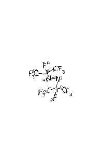 FC(F)(F)C(F)(N=NC(F)(C(F)(F)F)C(F)(F)F)C(F)(F)F